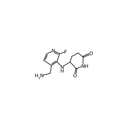 NCc1ccnc(F)c1NC1CCC(=O)NC1=O